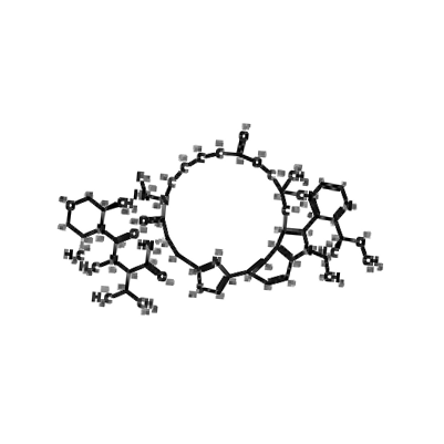 CCn1c(-c2cccnc2[C@H](C)OC)c2c3cc(ccc31)-c1csc(n1)C[C@H](NC(=O)C(C(C)C)N(C)C(=O)N1[C@H](C)COC[C@H]1C)C(=O)N(NF)CCCCC(=O)OCC(C)(C)C2